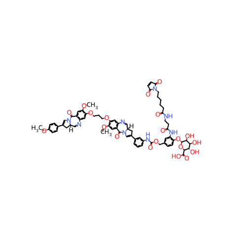 COc1ccc(C2=CN3C(=O)c4cc(OC)c(OCCCOc5cc6c(cc5OC)C(=O)N5C=C(c7cccc(NC(=O)OCc8ccc(O[C@@H]9OC(C(=O)O)[C@@H](O)C(O)C9O)c(NC(=O)CCNC(=O)CCCCCN9C(=O)C=CC9=O)c8)c7)C[C@H]5C=N6)cc4N=C[C@@H]3C2)cc1